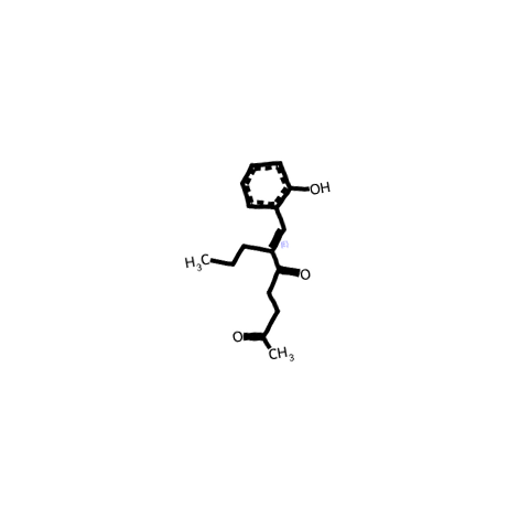 CCC/C(=C\c1ccccc1O)C(=O)CCC(C)=O